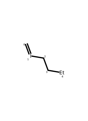 C=ICCCC